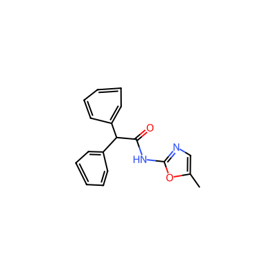 Cc1cnc(NC(=O)C(c2ccccc2)c2ccccc2)o1